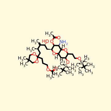 C=C([C@H](C)CC1(CCCOC(C)=O)OCC(C)(C)CO1)[C@H](O)C[C@@H]1O[C@H]2CC(O[Si](C)(C)C(C)(C)C)C(CCO[Si](C)(C)C(C)(C)C)O[C@H]2[C@H](N)C1OC(C)=O